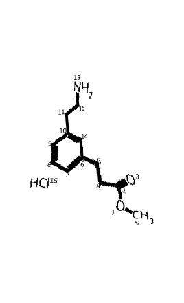 COC(=O)CCc1cccc(CCN)c1.Cl